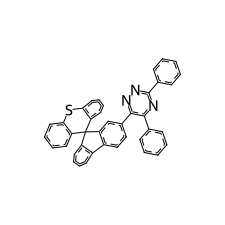 c1ccc(-c2nnc(-c3ccc4c(c3)C3(c5ccccc5Sc5ccccc53)c3ccccc3-4)c(-c3ccccc3)n2)cc1